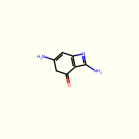 NC1=CC2=C(C(=O)C1)C(N)=N2